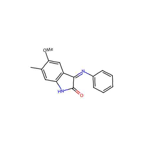 COc1cc2c(cc1C)NC(=O)/C2=N\c1ccccc1